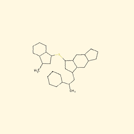 CC(CC1CC(SC2CC(C)C3CCCCC23)C2CC3CCCC3CC12)C1CCCCC1